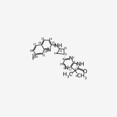 CC1(C)C(=O)Nc2nc([C@H]3C[C@H](Nc4ccc5ccc(F)cc5n4)C3)cnc21